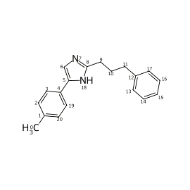 Cc1ccc(-c2cnc(CCCc3ccccc3)[nH]2)cc1